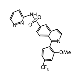 COc1cc(C(F)(F)F)ccc1-c1nccc2cc(S(=O)(=O)Nc3cccnn3)ccc12